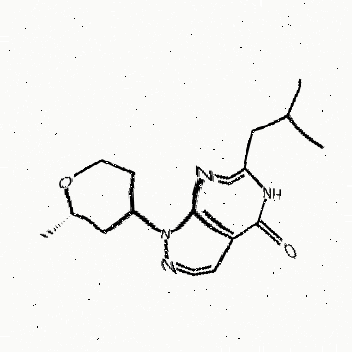 CC(C)Cc1nc2c(cnn2C2CCO[C@@H](C)C2)c(=O)[nH]1